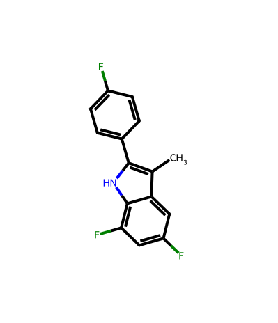 Cc1c(-c2ccc(F)cc2)[nH]c2c(F)cc(F)cc12